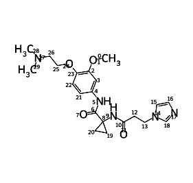 COc1cc(NC(=O)C2(NC(=O)CCn3ccnc3)CC2)ccc1OCCN(C)C